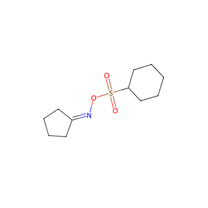 O=S(=O)(ON=C1CCCC1)C1CCCCC1